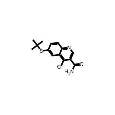 CC(C)(C)Sc1ccc2ncc(C(N)=O)c(Cl)c2c1